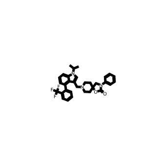 CC(C)n1cc(CN2CCC3(CC2)CN(c2ccccc2)C(=O)O3)c2c(-c3ccccc3C(F)(F)F)cccc21